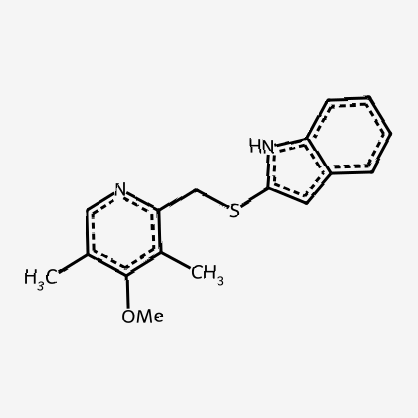 COc1c(C)cnc(CSc2cc3ccccc3[nH]2)c1C